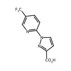 O=C(O)c1ccn(-c2ccc(C(F)(F)F)cn2)n1